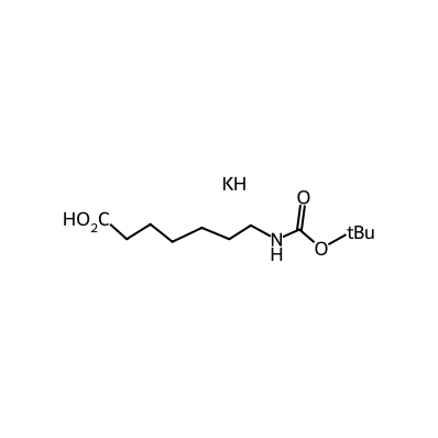 CC(C)(C)OC(=O)NCCCCCCC(=O)O.[KH]